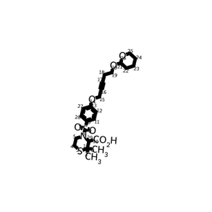 CC1(C)SCCN(S(=O)(=O)c2ccc(OCC#CCCOC3CCCCO3)cc2)C1C(=O)O